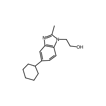 Cc1nc2cc([C]3CCCCC3)ccc2n1CCO